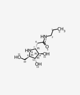 CCCNC(=O)C[C@H]1N[C@H](CO)[C@@H](O)[C@@H]1O